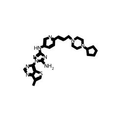 Cc1csc2c(-n3nc(Nc4ccc(C=CCN5CCN(C6CCCC6)CC5)nc4)nc3N)ncnc12